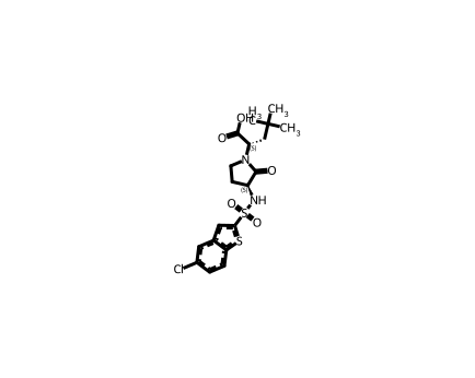 CC(C)(C)C[C@@H](C(=O)O)N1CC[C@H](NS(=O)(=O)c2cc3cc(Cl)ccc3s2)C1=O